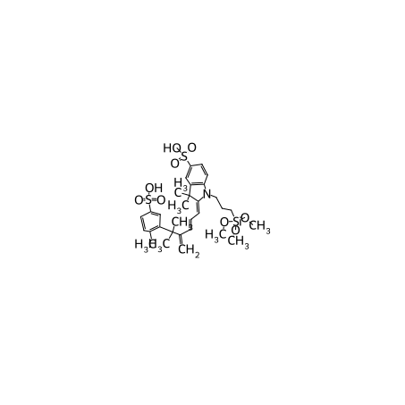 C=C(/C=C/C=C1/N(CCC[Si](OC)(OC)OC)c2ccc(S(=O)(=O)O)cc2C1(C)C)C(C)(C)c1cc(S(=O)(=O)O)ccc1C